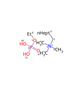 CCCCCCCC[N+](C)(C)C.CCOP(=O)(O)O